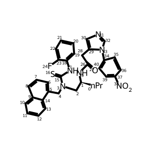 CCC[C@@H](CN(Cc1cccc2ccccc12)C(=S)Nc1ccccc1F)NC(=O)Cc1cncn1-c1ccc([N+](=O)[O-])cc1